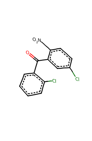 O=C(c1ccccc1Cl)c1cc(Cl)ccc1[N+](=O)[O-]